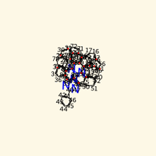 C1=CC2C(C=C1)C(c1ccccc1)(c1ccccc1)c1ccccc1N2c1c(-c2ccccc2)cccc1-c1nc(-c2ccccc2)nc(-c2cccc(-c3ccccc3)c2N2c3ccccc3C(c3ccccc3)(c3ccccc3)c3ccccc32)n1